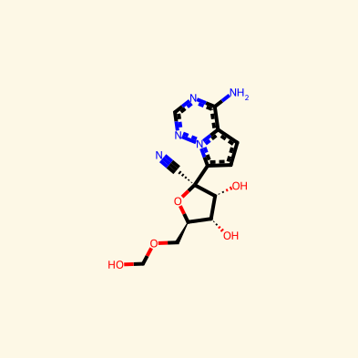 N#C[C@@]1(c2ccc3c(N)ncnn23)O[C@H](COCO)[C@@H](O)[C@H]1O